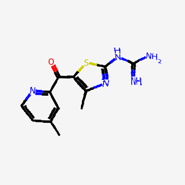 Cc1ccnc(C(=O)c2sc(NC(=N)N)nc2C)c1